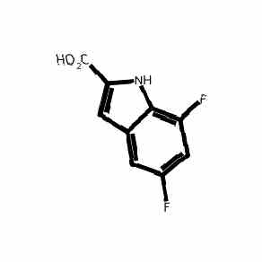 O=C(O)c1cc2cc(F)cc(F)c2[nH]1